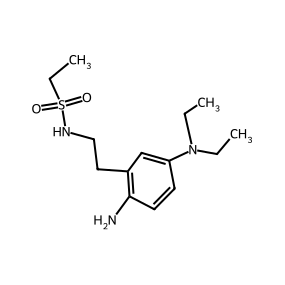 CCN(CC)c1ccc(N)c(CCNS(=O)(=O)CC)c1